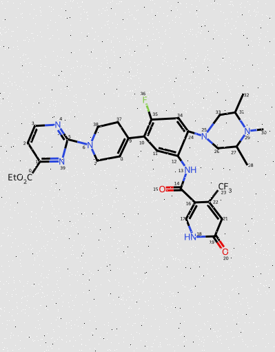 CCOC(=O)c1ccnc(N2CC=C(c3cc(NC(=O)c4c[nH]c(=O)cc4C(F)(F)F)c(N4CC(C)N(C)C(C)C4)cc3F)CC2)n1